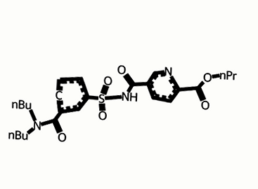 CCCCN(CCCC)C(=O)c1cccc(S(=O)(=O)NC(=O)c2ccc(C(=O)OCCC)nc2)c1